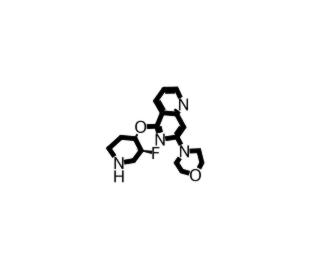 F[C@H]1CNCC[C@@H]1Oc1nc(N2CCOCC2)cc2ncccc12